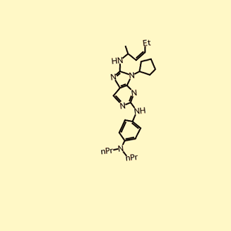 CC/C=C\C(C)Nc1nc2cnc(Nc3ccc(N(CCC)CCC)cc3)nc2n1C1CCCC1